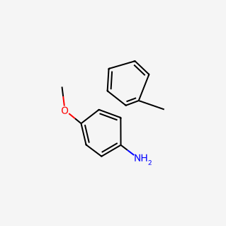 COc1ccc(N)cc1.Cc1ccccc1